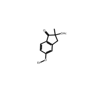 CCOc1ccc2c(c1)CC(C)(OC(C)=O)C2=O